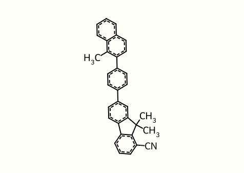 Cc1c(-c2ccc(-c3ccc4c(c3)C(C)(C)c3c(C#N)cccc3-4)cc2)ccc2ccccc12